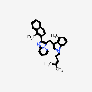 CC(C)=CCCn1cc(Cc2c(-c3ccc4ccccc4c3C(=O)O)nc3ccccn23)c2c(C)cccc21